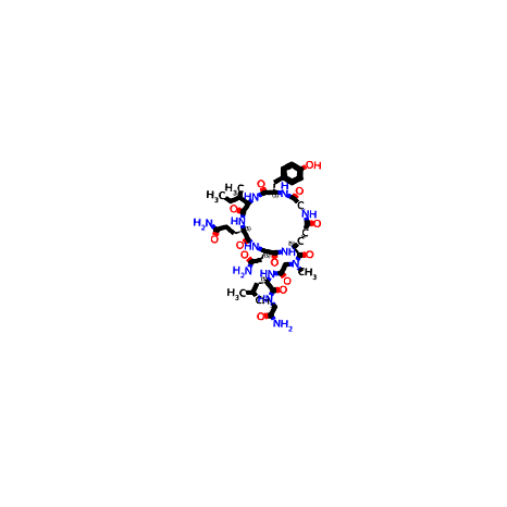 CCC(C)C1NC(=O)[C@H](Cc2ccc(O)cc2)NC(=O)CNC(=O)CC[C@@H](C(=O)N(C)CC(=O)N[C@@H](CC(C)C)C(=O)NCC(N)=O)NC(=O)[C@H](CC(N)=O)NC(=O)[C@H](CCC(N)=O)NC1=O